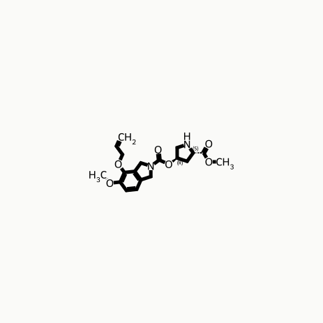 C=CCOc1c(OC)ccc2c1CN(C(=O)O[C@H]1CN[C@H](C(=O)OC)C1)C2